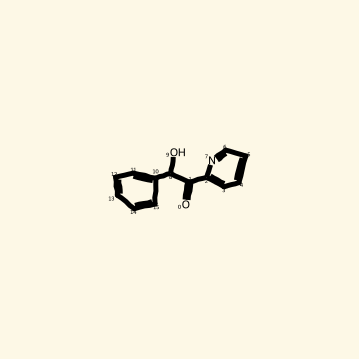 O=C(c1ccccn1)C(O)c1ccccc1